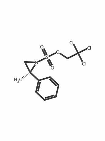 C[C@]1(c2ccccc2)CN1S(=O)(=O)OCC(Cl)(Cl)Cl